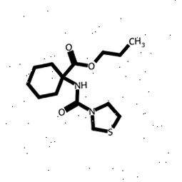 CCCOC(=O)C1(NC(=O)N2CCSC2)CCCCC1